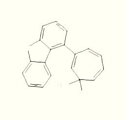 CC1(C)C=CC=CC(c2cccc3sc4ccccc4c23)=C1